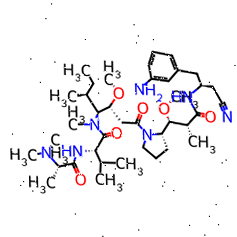 CC[C@H](C)[C@@H]([C@@H](CC(=O)N1CCC[C@H]1[C@H](OC)[C@@H](C)C(=O)N[C@H](CC#N)Cc1cccc(N)c1)OC)N(C)C(=O)[C@@H](NC(=O)[C@H](C)N(C)C)C(C)C